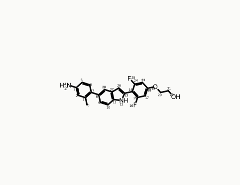 Cc1cc(N)ccc1-c1ccc2[nH]c(-c3c(F)cc(OCCO)cc3F)cc2c1